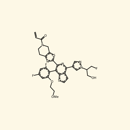 C=CC(=O)N1CCc2nc(-c3nc(-c4cnn(C(CO)CF)c4)c4ccsc4c3-c3c(F)cc(F)cc3OCCOC)sc2C1